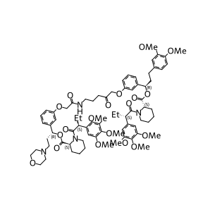 CC[C@H](C(=O)N1CCCC[C@H]1C(=O)O[C@H](CCc1ccc(OC)c(OC)c1)c1cccc(OCC(=O)CCCNC(=O)COc2cccc([C@@H](CCN3CCOCC3)OC(=O)[C@@H]3CCCCN3C(=O)[C@@H](CC)c3cc(OC)c(OC)c(OC)c3)c2)c1)c1cc(OC)c(OC)c(OC)c1